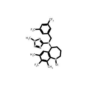 CCN1CCC[C@H](N(Cc2cc(C(F)(F)F)cc(C(F)(F)F)c2)c2nnn(C)n2)c2cc(C)c(C(F)(F)F)c(C)c21